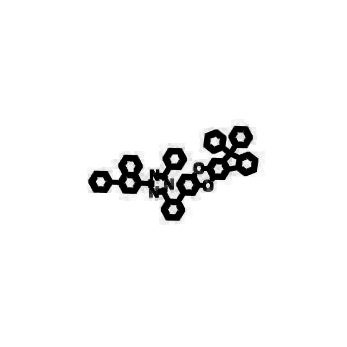 c1ccc(-c2nc(-c3ccccc3-c3ccc4c(c3)Oc3cc5c(cc3O4)C(c3ccccc3)(c3ccccc3)c3ccccc3-5)nc(-c3ccc(-c4ccccc4)c4ccccc34)n2)cc1